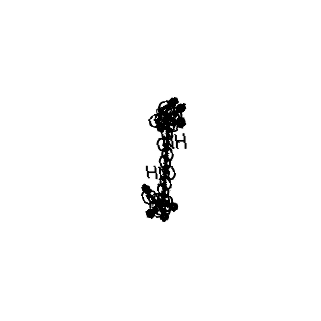 C[C@H](OC(=O)c1ccccc1)C(COC(=O)c1ccccc1)O[C@H](OCCOCCOCCNC(=O)CCOCCOCCC(=O)NCCOCCOCCO[C@H]1OC(COC(=O)c2ccccc2)[C@@H](OC(=O)c2ccccc2)C(OC(=O)c2ccccc2)C1OC(=O)c1ccccc1)[C@@H](COC(=O)c1ccccc1)OC(=O)c1ccccc1